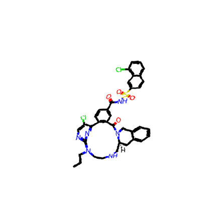 CCCN1CCNC[C@@H]2Cc3ccccc3CN2C(=O)c2cc(C(=O)NS(=O)(=O)c3ccc4cccc(Cl)c4c3)ccc2-c2nc1ncc2Cl